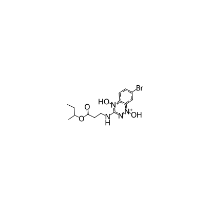 CCC(C)OC(=O)CCNc1n[n+](O)c2cc(Br)ccc2[n+]1O